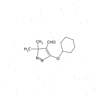 CC1(C)N=NC(OC2CCCCC2)=C1C=O